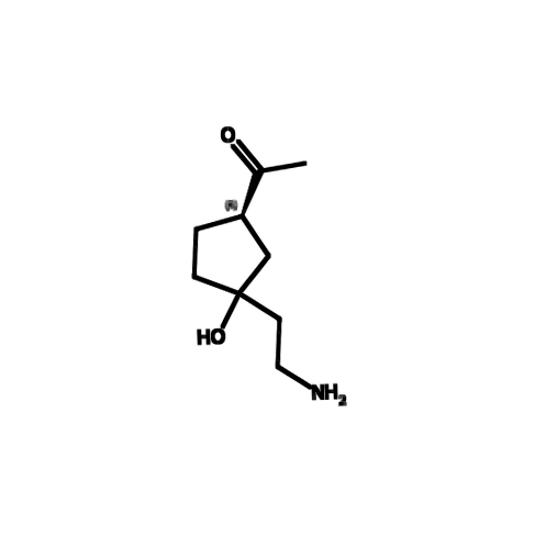 CC(=O)[C@@H]1CCC(O)(CCN)C1